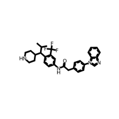 CC(C)C(c1ccc(NC(=O)Cc2ccc(-n3cnc4ccccc43)cc2)cc1C(F)(F)F)C1CCNCC1